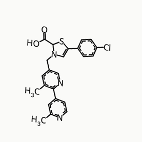 Cc1cc(-c2ncc(CN3C=C(c4ccc(Cl)cc4)SC3C(=O)O)cc2C)ccn1